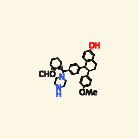 COc1ccc(C2CCc3cc(O)ccc3C2c2ccc(C([C@@H]3CCCC[C@H]3C=O)N3CCNCC3)cc2)cc1